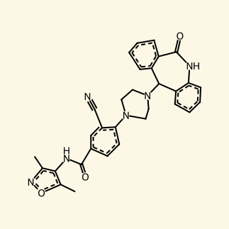 Cc1noc(C)c1NC(=O)c1ccc(N2CCN(C3c4ccccc4NC(=O)c4ccccc43)CC2)c(C#N)c1